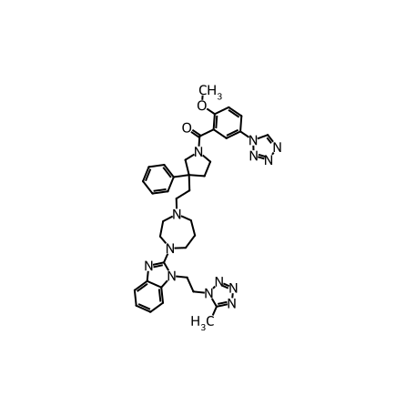 COc1ccc(-n2cnnn2)cc1C(=O)N1CCC(CCN2CCCN(c3nc4ccccc4n3CCn3nnnc3C)CC2)(c2ccccc2)C1